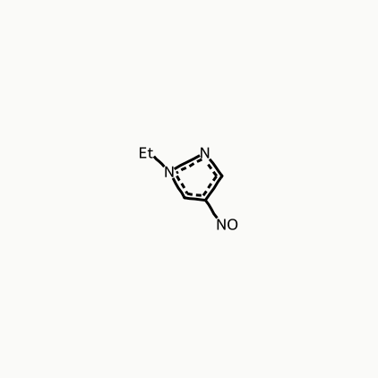 CCn1cc(N=O)cn1